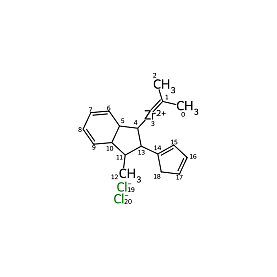 C[C](C)=[Zr+2][CH]1C2C=CC=CC2C(C)C1C1=CC=CC1.[Cl-].[Cl-]